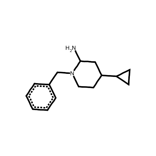 NC1CC(C2CC2)CCN1Cc1ccccc1